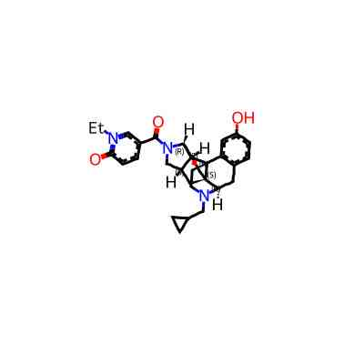 CCn1cc(C(=O)N2C[C@H]3C[C@@]45CC[C@@H]2[C@@H]3[C@@]42CCN(CC3CC3)[C@@H]5Cc3ccc(O)cc32)ccc1=O